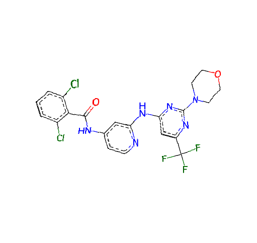 O=C(Nc1ccnc(Nc2cc(C(F)(F)F)nc(N3CCOCC3)n2)c1)c1c(Cl)cccc1Cl